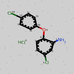 Cl.Nc1cc(Cl)ccc1Oc1ccc(Cl)cc1